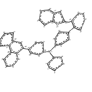 c1ccc(N(c2ccc(-c3ccccc3-c3cc4ccccc4o3)cc2)c2ccc(-c3cc4ccccc4c4ccccc34)cc2)cc1